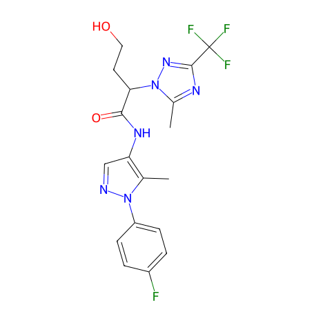 Cc1c(NC(=O)C(CCO)n2nc(C(F)(F)F)nc2C)cnn1-c1ccc(F)cc1